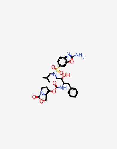 CC(C)CN(CC(O)C(Cc1ccccc1)NC(=O)OC1=C2COC(=O)N2CC1)S(=O)(=O)c1ccc2nc(N)oc2c1